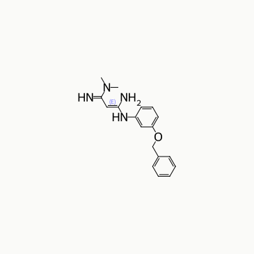 CN(C)C(=N)/C=C(\N)Nc1cccc(OCc2ccccc2)c1